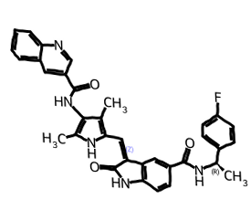 Cc1[nH]c(/C=C2\C(=O)Nc3ccc(C(=O)N[C@H](C)c4ccc(F)cc4)cc32)c(C)c1NC(=O)c1cnc2ccccc2c1